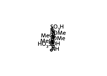 COc1cc(N=Nc2cc(OC)c(N=Nc3c(S(=O)(=O)O)cc4cc(Nc5ccccc5)ccc4c3O)cc2OC)c(OC)cc1N=Nc1ccc(S(=O)(=O)O)cc1